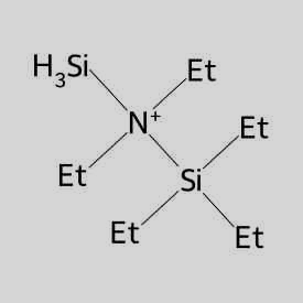 CC[N+]([SiH3])(CC)[Si](CC)(CC)CC